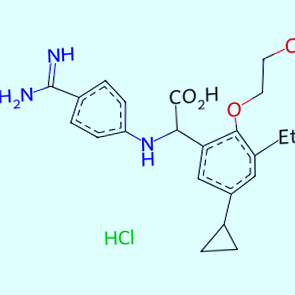 CCc1cc(C2CC2)cc(C(Nc2ccc(C(=N)N)cc2)C(=O)O)c1OCCO.Cl